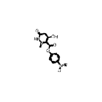 CN1NC(=O)CC(O)=C1C(=O)Oc1ccc([N+](=O)[O-])cc1